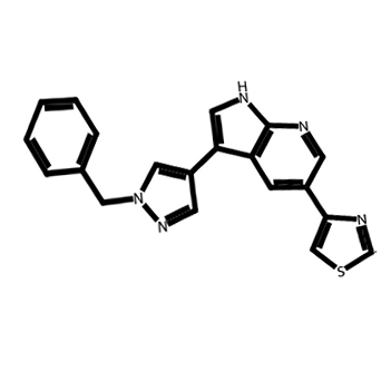 [c]1nc(-c2cnc3[nH]cc(-c4cnn(Cc5ccccc5)c4)c3c2)cs1